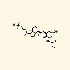 C=C1/C(=C\C=C2/CCC[C@]3(C)[C@@H]([C@H](C)CCCC(C)(C)O)CC[C@@H]23)C[C@@H](O)C[C@@H]1NC(=O)CC